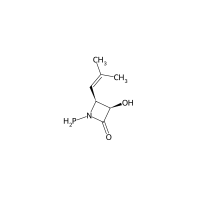 CC(C)=C[C@H]1[C@@H](O)C(=O)N1P